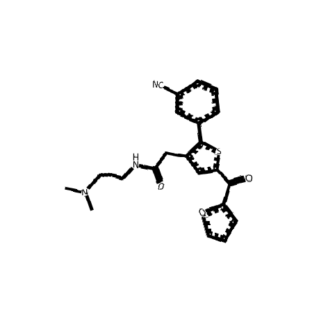 CN(C)CCNC(=O)Cc1cc(C(=O)c2ccco2)sc1-c1cccc(C#N)c1